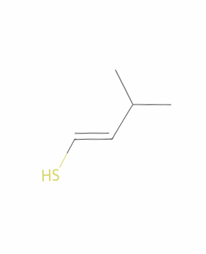 CC(C)C=CS